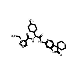 CCn1nncc1C(=O)N[C@H](C(=O)Nc1cc2c(cn1)C1(CCOCC1)C(=O)N2)C1CCC(C)CC1